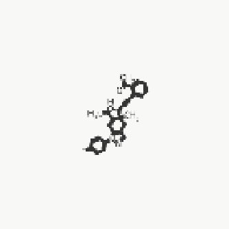 CCC1=Cc2c(cnn2-c2ccc(F)cc2)CC1(C)[C@@H](O)C#Cc1ccccc1C(C)=O